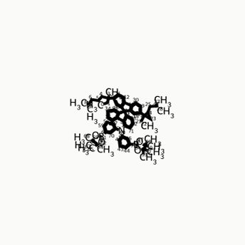 CCC(C)(CCCC(C)C)c1ccc2c(c1)C1(c3cc(C4(CC)CC4CC(C)C)ccc3-2)c2ccccc2-c2c(N(c3cccc(B4OC(C)(C)C(C)(C)O4)c3)c3cccc(B4OC(C)(C)C(C)(C)O4)c3)cccc21